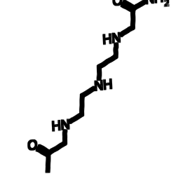 CC(=O)CNCCNCCNCC(N)=O